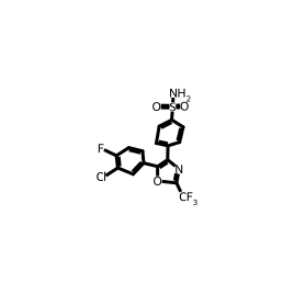 NS(=O)(=O)c1ccc(-c2nc(C(F)(F)F)oc2-c2ccc(F)c(Cl)c2)cc1